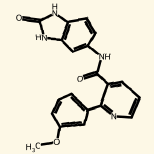 COc1cccc(-c2ncccc2C(=O)Nc2ccc3[nH]c(=O)[nH]c3c2)c1